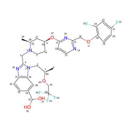 C[C@H](Cn1c(CN2CC[C@H](Oc3ccnc(COc4ccc(F)cc4F)n3)C[C@@H]2C)nc2ccc(C(O)O)cc21)OCC(F)(F)F